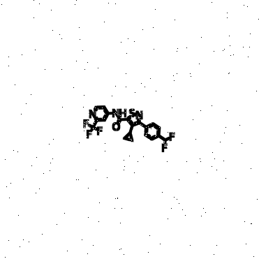 O=C(Nc1ccnc(C(F)(F)F)c1)c1snc(-c2ccc(C(F)F)cc2)c1C1CC1